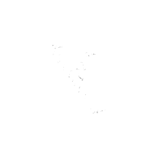 CCCCCCCCCCCCCCCCCC(CCCCCCCCCCCCCCCCC)C(=O)CCCCCCCCCCCCCC